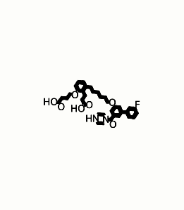 O=C(O)CCCOc1cccc(CCCCCCOc2cc(C(=O)N3CCNCC3)cc(-c3cccc(F)c3)c2)c1CCC(=O)O